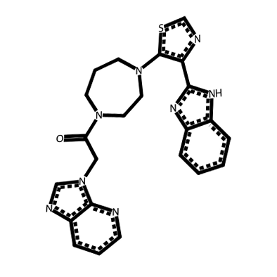 O=C(Cn1cnc2cccnc21)N1CCCN(c2scnc2-c2nc3ccccc3[nH]2)CC1